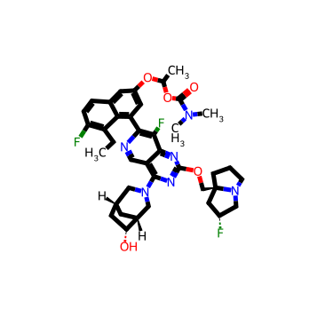 CCc1c(F)ccc2cc(OC(C)OC(=O)N(C)C)cc(-c3ncc4c(N5C[C@@H]6C[C@H](C5)[C@H](O)C6)nc(OC[C@@]56CCCN5C[C@H](F)C6)nc4c3F)c12